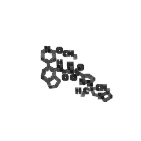 COc1cc(-c2ccc3c(c2NC(=O)NS(=O)(=O)c2ccn(C(C)(C)CN4CCC4)n2)CCC3)ccn1